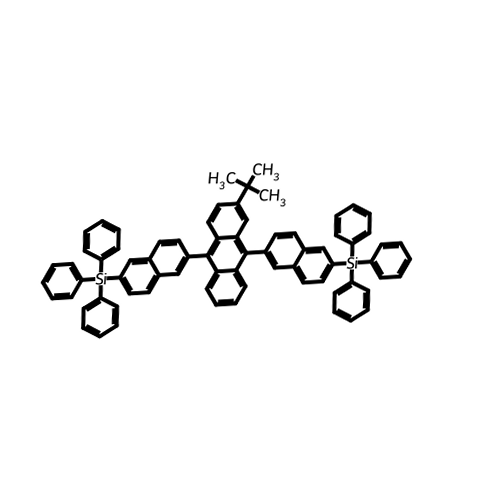 CC(C)(C)c1ccc2c(-c3ccc4cc([Si](c5ccccc5)(c5ccccc5)c5ccccc5)ccc4c3)c3ccccc3c(-c3ccc4cc([Si](c5ccccc5)(c5ccccc5)c5ccccc5)ccc4c3)c2c1